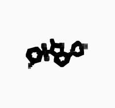 CC1=Nc2c(cccc2N2CCNCC2)C1S(=O)(=O)c1cccc(F)c1